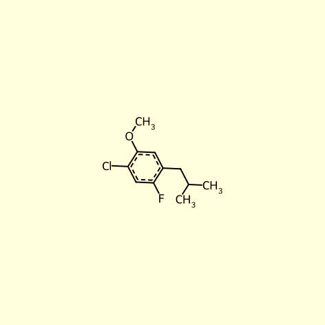 COc1cc(CC(C)C)c(F)cc1Cl